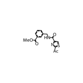 COC(=O)c1cccc(CNC(=O)c2csc(C(C)=O)n2)c1